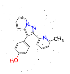 Cc1cccc(-c2nn3ccccc3c2-c2ccc(O)cc2)n1